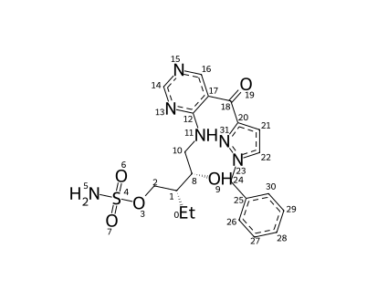 CC[C@H](COS(N)(=O)=O)[C@@H](O)CNc1ncncc1C(=O)c1ccn(Cc2ccccc2)n1